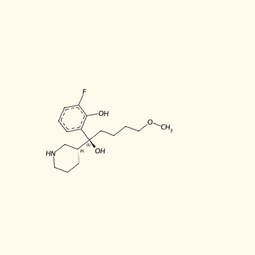 COCCCC[C@@](O)(c1cccc(F)c1O)[C@@H]1CCCNC1